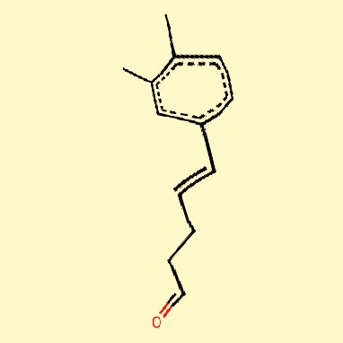 Cc1ccc(C=CCCC=O)cc1C